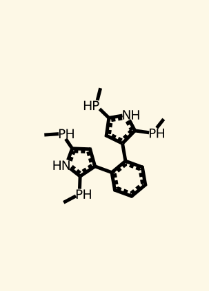 CPc1cc(-c2ccccc2-c2cc(PC)[nH]c2PC)c(PC)[nH]1